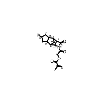 C=C(C)C(=O)OCC(=O)N1C(=O)C2C3CC(C4CC(F)CC43)C21